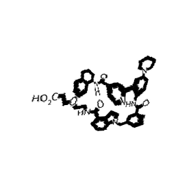 O=C(O)CCOCCNC(=O)c1cccc2c1ccn2Cc1cccc(C(=O)Nc2ccc(N3CCCCC3)cc2-c2cc(C(=O)N[C@H]3CCCc4ccccc43)ccn2)c1